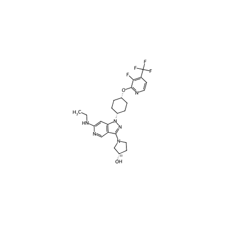 CCNc1cc2c(cn1)c(N1CC[C@H](O)C1)nn2[C@H]1CC[C@@H](Oc2nccc(C(F)(F)F)c2F)CC1